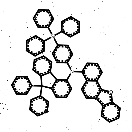 c1ccc(C2(c3ccccc3)c3ccccc3-c3c(N(c4ccc([Si](c5ccccc5)(c5ccccc5)c5ccccc5)cc4)c4cccc5c4ccc4c6ccccc6oc54)cccc32)cc1